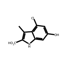 Cc1c(C(=O)O)[nH]c2cc(O)cc(Cl)c12